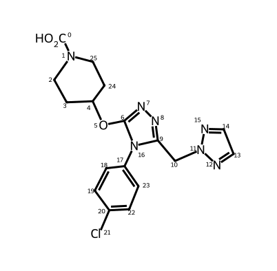 O=C(O)N1CCC(Oc2nnc(Cn3nccn3)n2-c2ccc(Cl)cc2)CC1